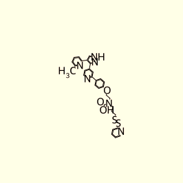 Cc1cccc(-c2c[nH]nc2-c2ccnc(-c3ccc(OCCN(CCCSSc4ccccn4)C(=O)O)cc3)c2)n1